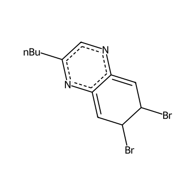 CCCCc1cnc2c(n1)=CC(Br)C(Br)C=2